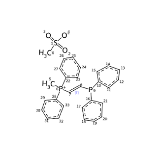 CS(=O)(=O)[O-].C[P+](/C=C/P(c1ccccc1)c1ccccc1)(c1ccccc1)c1ccccc1